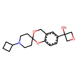 OC1(c2ccc3c(c2)COC2(CCN(C4CCC4)CC2)O3)COC1